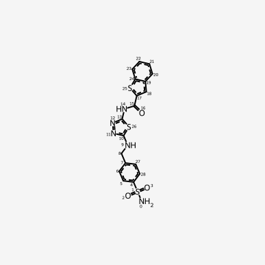 NS(=O)(=O)c1ccc(CNc2nnc(NC(=O)c3cc4ccccc4s3)s2)cc1